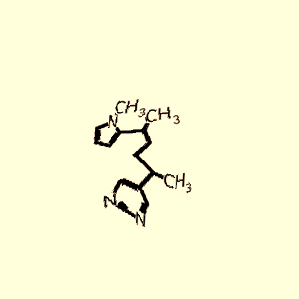 CC(CCC(C)c1cccn1C)c1cncnc1